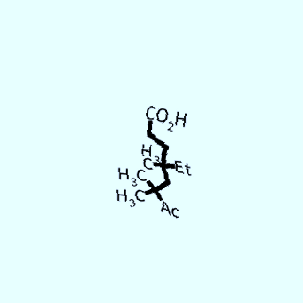 CCC(C)(CCC(=O)O)CC(C)(C)C(C)=O